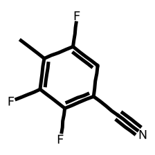 Cc1c(F)cc(C#N)c(F)c1F